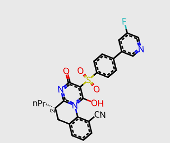 CCC[C@H]1Cc2cccc(C#N)c2-n2c1nc(=O)c(S(=O)(=O)c1ccc(-c3cncc(F)c3)cc1)c2O